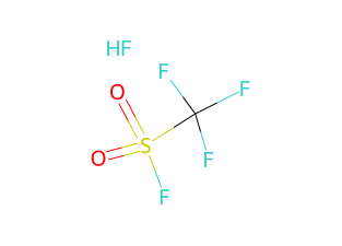 F.O=S(=O)(F)C(F)(F)F